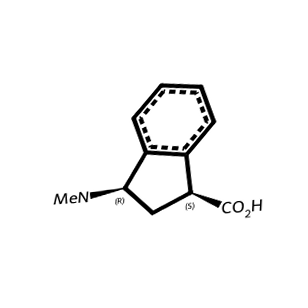 CN[C@@H]1C[C@H](C(=O)O)c2ccccc21